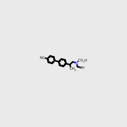 CC(C)CN(CC(C)c1ccc(-c2ccc(C#N)cc2)cc1)C(=O)O